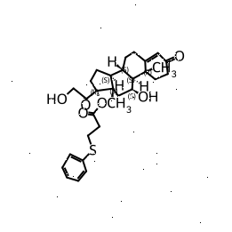 C[C@]12CCC(=O)C=C1CC[C@@H]1[C@@H]2[C@@H](O)C[C@@]2(C)[C@H]1CC[C@]2(OC(=O)CCSc1ccccc1)C(=O)CO